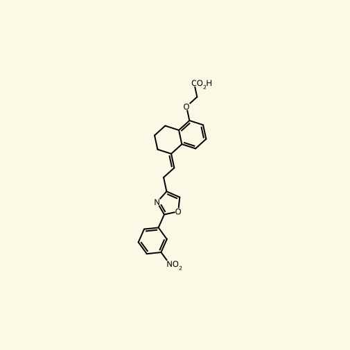 O=C(O)COc1cccc2c1CCCC2=CCc1coc(-c2cccc([N+](=O)[O-])c2)n1